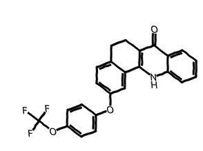 O=c1c2c([nH]c3ccccc13)-c1cc(Oc3ccc(OC(F)(F)F)cc3)ccc1CC2